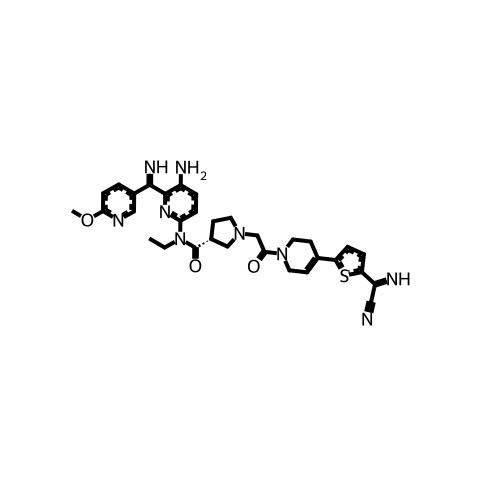 CCN(C(=O)[C@@H]1CCN(CC(=O)N2CC=C(c3ccc(C(=N)C#N)s3)CC2)C1)c1ccc(N)c(C(=N)c2ccc(OC)nc2)n1